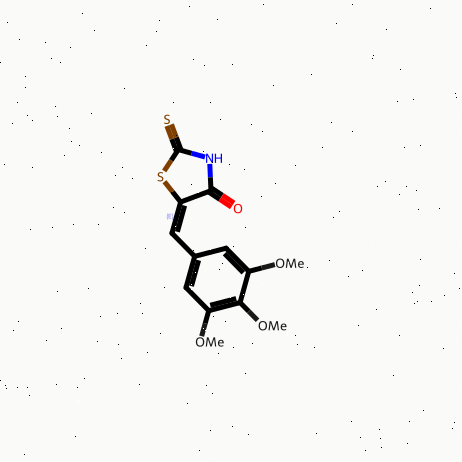 COc1cc(/C=C2/SC(=S)NC2=O)cc(OC)c1OC